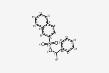 CC(OS(=O)(=O)c1ccc2ccccc2c1)c1ccccc1